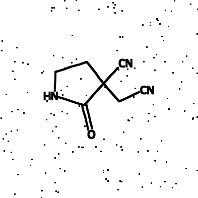 N#CCC1(C#N)CCNC1=O